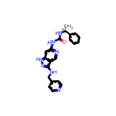 C[C@@H](NC(=O)Nc1cc2[nH]nc(NCc3ccncc3)c2cn1)c1ccccc1